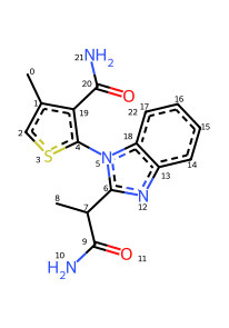 Cc1csc(-n2c(C(C)C(N)=O)nc3ccccc32)c1C(N)=O